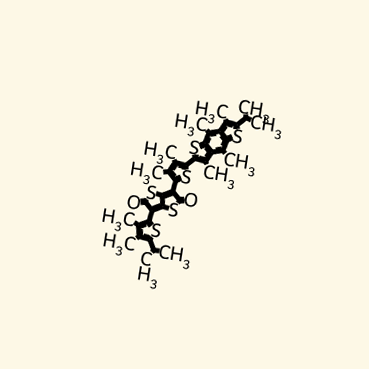 Cc1c(C2=C3SC(=O)C(c4sc(C(C)C)c(C)c4C)=C3SC2=O)sc(-c2sc3c(C)c4c(C)c(C(C)C)sc4c(C)c3c2C)c1C